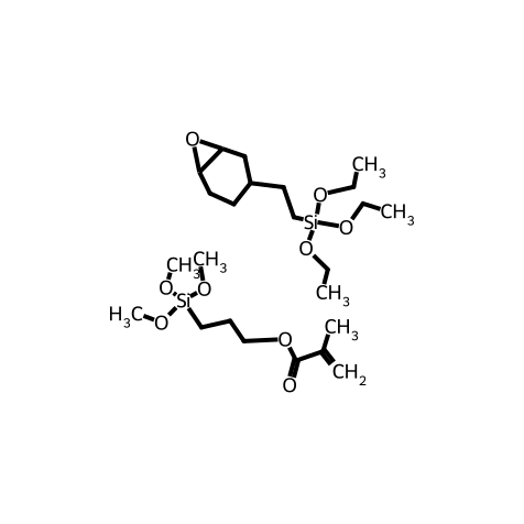 C=C(C)C(=O)OCCC[Si](OC)(OC)OC.CCO[Si](CCC1CCC2OC2C1)(OCC)OCC